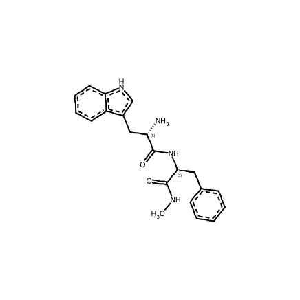 CNC(=O)[C@H](Cc1ccccc1)NC(=O)[C@@H](N)Cc1c[nH]c2ccccc12